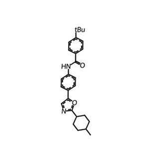 CC1CCC(c2ncc(-c3ccc(NC(=O)c4ccc(C(C)(C)C)cc4)cc3)o2)CC1